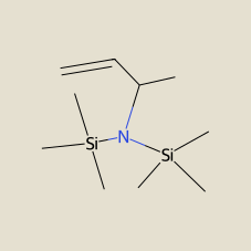 C=CC(C)N([Si](C)(C)C)[Si](C)(C)C